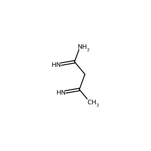 CC(=N)CC(=N)N